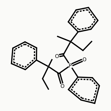 CCC(C)(C(=O)P(=O)(C(=O)C(C)(CC)c1ccccc1)c1ccccc1)c1ccccc1